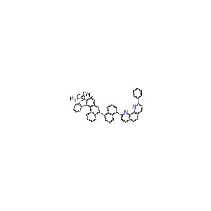 C[Si]1(C)c2ccccc2-c2c1ccc1cc(-c3cccc4c(-c5ccc6ccc7ccc(-c8ccccc8)nc7c6n5)cccc34)c3ccccc3c21